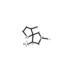 CC1CCOC12CN(I)CC2N